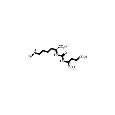 CCC(C)NCCCC[C@@H](NC(=O)N[C@@H](CCC(=O)O)C(=O)O)C(=O)O